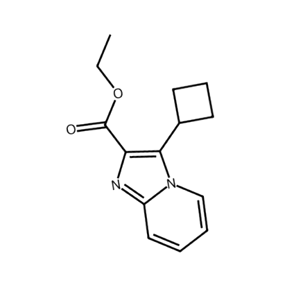 CCOC(=O)c1nc2ccccn2c1C1CCC1